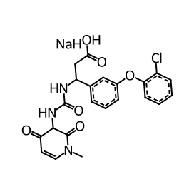 CN1C=CC(=O)C(NC(=O)NC(CC(=O)O)c2cccc(Oc3ccccc3Cl)c2)C1=O.[NaH]